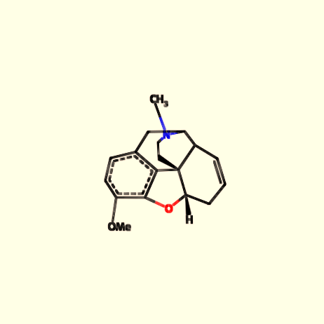 COc1ccc2c3c1O[C@H]1CC=CC4C(C2)N(C)CC[C@@]341